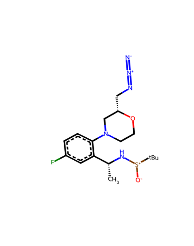 C[C@@H](N[S+]([O-])C(C)(C)C)c1cc(F)ccc1N1CCO[C@@H](CN=[N+]=[N-])C1